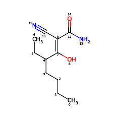 CCCCC(CC)C(O)=C(C#N)C(N)=O